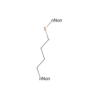 CCCCCCCCCCCC[CH]SCCCCCCCCC